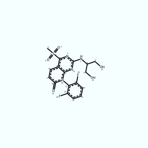 CS(=O)(=O)c1nc(NC(CO)CO)nc2c1ccc(=O)n2-c1c(F)cccc1F